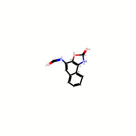 O=C=Nc1cc2ccccc2c2[nH]c(=O)oc12